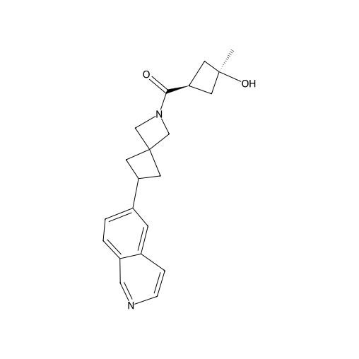 C[C@]1(O)C[C@@H](C(=O)N2CC3(CC(c4ccc5cnccc5c4)C3)C2)C1